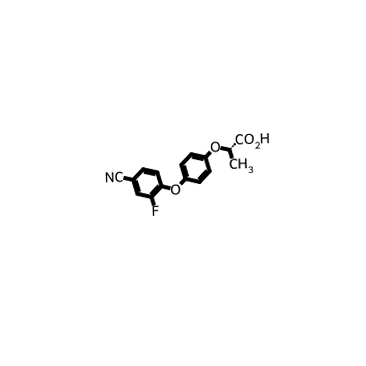 C[C@H](Oc1ccc(Oc2ccc(C#N)cc2F)cc1)C(=O)O